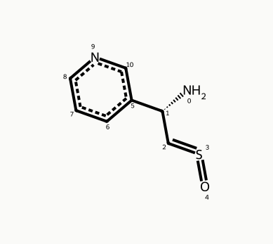 N[C@H](C=S=O)c1cccnc1